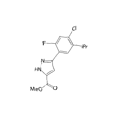 COC(=O)c1cc(-c2cc(C(C)C)c(Cl)cc2F)n[nH]1